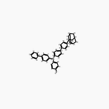 Fc1ccc(N(c2ccc(-c3ccccc3)cc2)c2ccc(-c3ccc(C45CC6CC(CC(C6)C4)C5)cc3)cc2)cc1